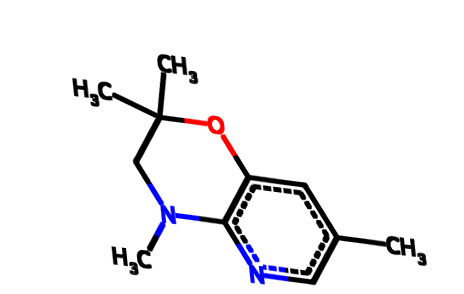 Cc1cnc2c(c1)OC(C)(C)CN2C